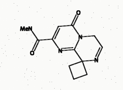 CNC(=O)c1cc(=O)n2c(n1)C1(CCC1)N=CC2